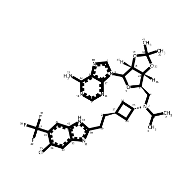 CC(C)N(C[C@H]1OC(n2cnc3c(N)ncnc32)[C@@H]2OC(C)(C)O[C@H]12)[C@H]1C[C@H](CCc2nc3cc(Cl)c(C(F)(F)F)cc3[nH]2)C1